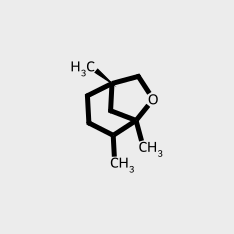 CC1CC[C@]2(C)COC1(C)C2